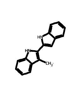 [CH2]c1c(-c2cc3ccccc3[nH]2)[nH]c2ccccc12